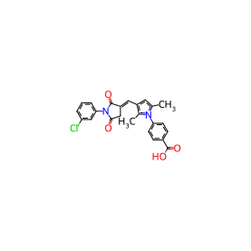 Cc1cc(C=C2CC(=O)N(c3cccc(Cl)c3)C2=O)c(C)n1-c1ccc(C(=O)O)cc1